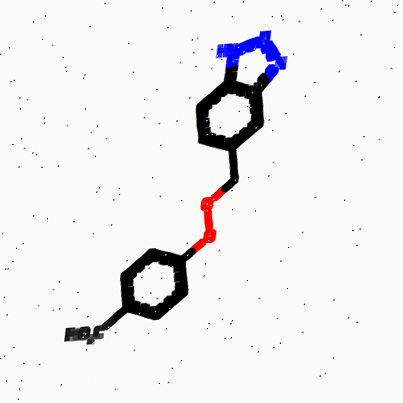 CCOC(=O)c1ccc(OOCc2ccc3[nH]nnc3c2)cc1